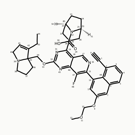 C#Cc1cccc2cc(OCOC)cc(-c3ncc4c(N5C[C@H]6CC[C@@H](C5)N6C(=O)O)nc(OCC56CCCN5CC=C6CC)nc4c3F)c12